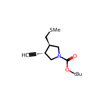 C#C[C@H]1CN(C(=O)OC(C)(C)C)C[C@@H]1CSC